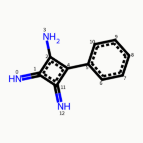 N=c1c(N)c(-c2ccccc2)c1=N